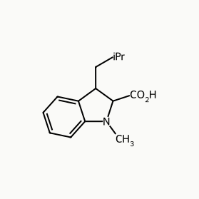 CC(C)CC1c2ccccc2N(C)C1C(=O)O